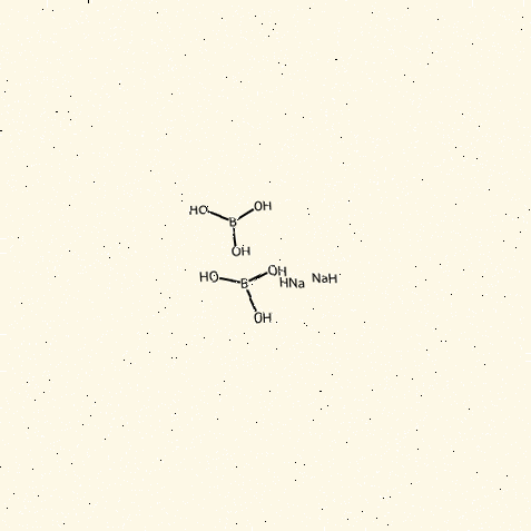 OB(O)O.OB(O)O.[NaH].[NaH]